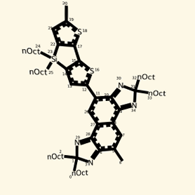 CCCCCCCCC1(CCCCCCCC)N=c2c(C)cc3c4c(c(-c5cc6c(s5)-c5sc(C)cc5[Si]6(CCCCCCCC)CCCCCCCC)cc3c2=N1)=NC(CCCCCCCC)(CCCCCCCC)N=4